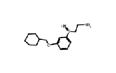 N=S(CCN)c1cccc(OCC2CCCCC2)c1